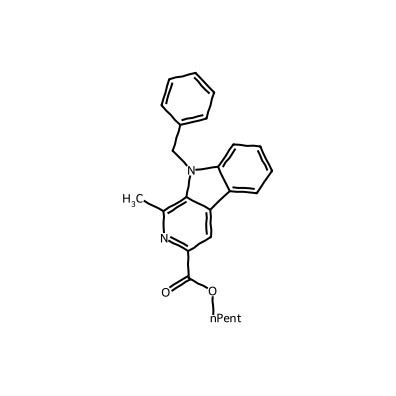 CCCCCOC(=O)c1cc2c3ccccc3n(Cc3ccccc3)c2c(C)n1